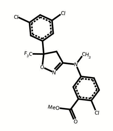 COC(=O)c1cc(N(C)C2=NOC(c3cc(Cl)cc(Cl)c3)(C(F)(F)F)C2)ccc1Cl